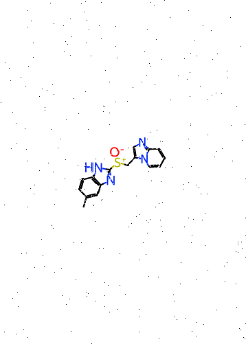 Cc1ccc2[nH]c([S+]([O-])Cc3cnc4ccccn34)nc2c1